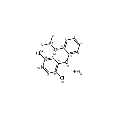 CP(C)Oc1ccccc1Oc1nc(Cl)ncc1Cl.P